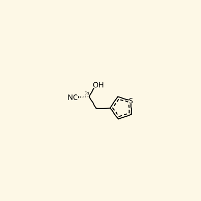 N#C[C@H](O)Cc1ccsc1